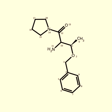 C[C@@H](OCc1ccccc1)C(N)C(=O)N1CCCC1